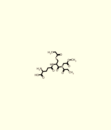 CCC(=O)SCC(NC(=O)CCC(N)C(=O)O)C(=O)N(CC(=O)OC)C(=O)CC